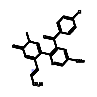 CCOC(=O)/C=C/c1cc(=O)n(C)cc1-c1ncc(OC)cc1C(=O)c1ccc(Cl)cc1